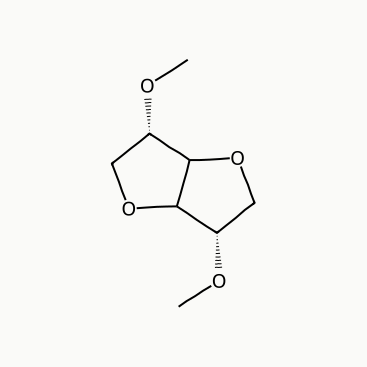 CO[C@H]1COC2C1OC[C@@H]2OC